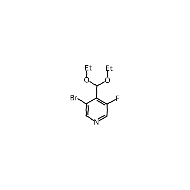 CCOC(OCC)c1c(F)cncc1Br